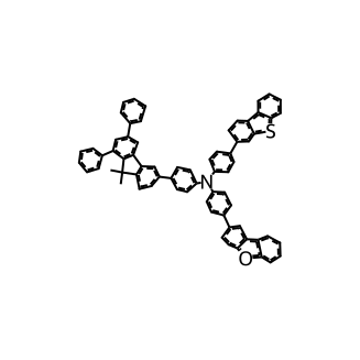 CC1(C)c2ccc(-c3ccc(N(c4ccc(-c5ccc6c(c5)sc5ccccc56)cc4)c4ccc(-c5ccc6oc7ccccc7c6c5)cc4)cc3)cc2-c2cc(-c3ccccc3)cc(-c3ccccc3)c21